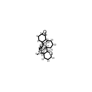 C[SiH](CCC1CCC2OC2C1)C1CCCOC1C1([SiH](C)C)CCCCO1